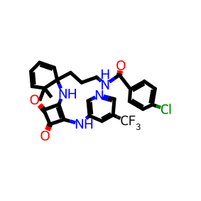 CC1(C)C=CC=CC1(CCCNC(=O)c1ccc(Cl)cc1)Nc1c(Nc2cncc(C(F)(F)F)c2)c(=O)c1=O